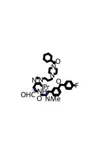 CN/C(=C\c1cccc(C(=O)c2ccc(F)cc2)c1)C(=O)N/C(C=O)=C\c1ncn(CCCN2CCN(C(=O)C3CCCCC3)CC2)c1C(C)C